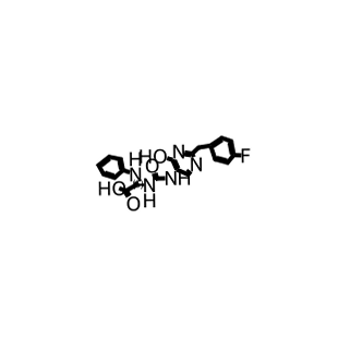 O=C(Nc1cnc(Cc2ccc(F)cc2)nc1O)N[C@H](Nc1ccccc1)C(=O)O